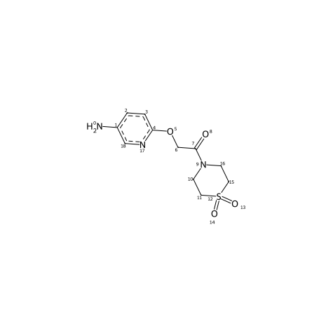 Nc1ccc(OCC(=O)N2CCS(=O)(=O)CC2)nc1